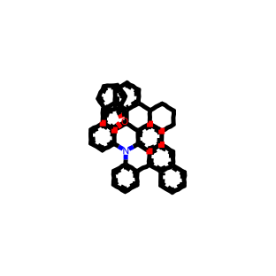 c1ccc(N(c2ccccc2-c2cccc3cccc(C4CCCCC4)c23)c2cccc3c2oc2ccccc23)c(-c2cccc3ccccc23)c1